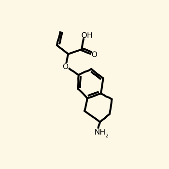 C=CC(Oc1ccc2c(c1)CC(N)CC2)C(=O)O